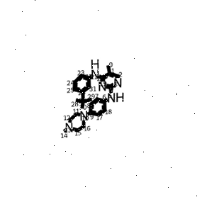 Cc1cnc(Nc2ccc(N3CCN(C)CC3)cc2)nc1Nc1cccc(C(C)(C)C)c1